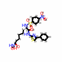 O=C(CCCCC[C@H](NS(=O)(=O)c1ccc([N+](=O)[O-])cc1)C(=O)Nc1nc(-c2ccccc2)cs1)NO